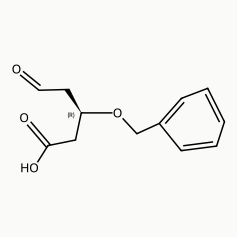 O=CC[C@H](CC(=O)O)OCc1ccccc1